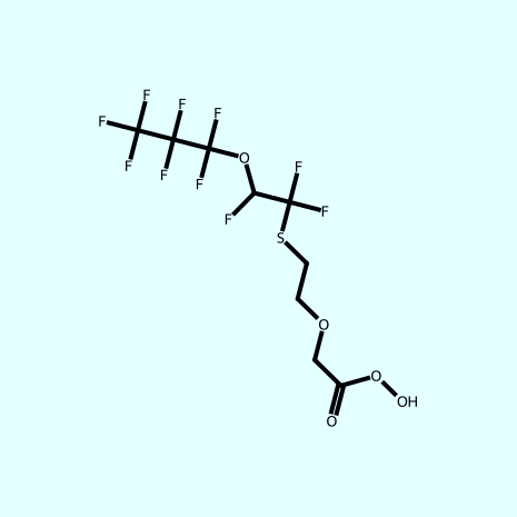 O=C(COCCSC(F)(F)C(F)OC(F)(F)C(F)(F)C(F)(F)F)OO